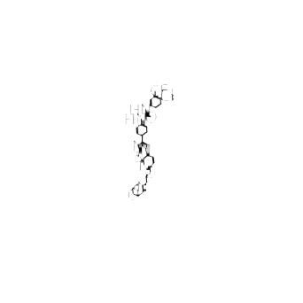 O=C(Nc1ccc(-c2cn3c(n2)sc2nc(OCCN4CCOCC4)ccc23)cc1)Nc1ccc(Cl)c(C(F)(F)F)c1